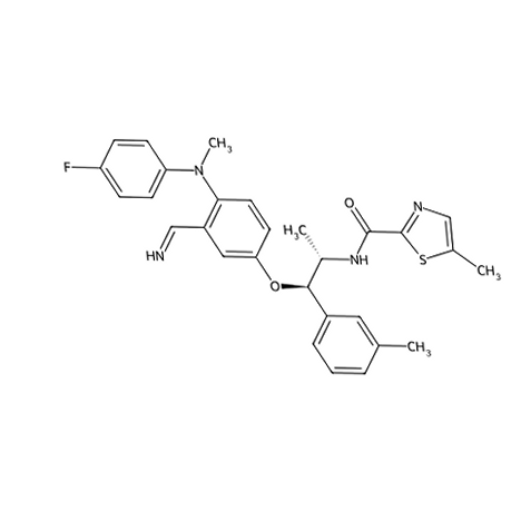 Cc1cccc([C@@H](Oc2ccc(N(C)c3ccc(F)cc3)c(C=N)c2)[C@H](C)NC(=O)c2ncc(C)s2)c1